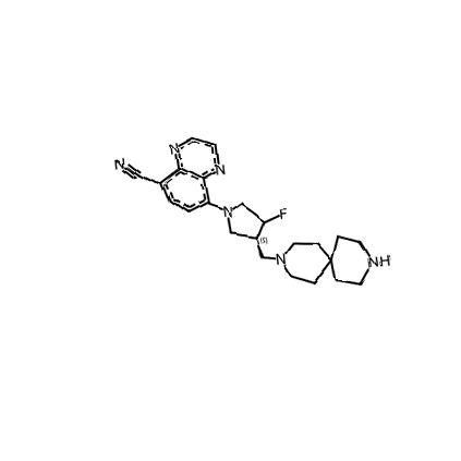 N#Cc1ccc(N2CC(F)[C@@H](CN3CCC4(CCNCC4)CC3)C2)c2nccnc12